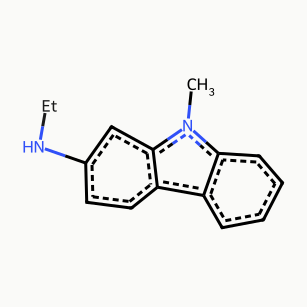 CCNc1ccc2c3ccccc3n(C)c2c1